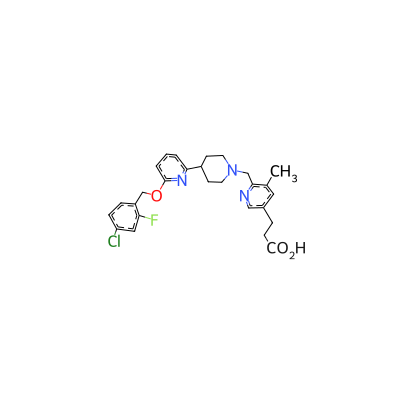 Cc1cc(CCC(=O)O)cnc1CN1CCC(c2cccc(OCc3ccc(Cl)cc3F)n2)CC1